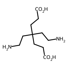 NCCC(CCN)(CCC(=O)O)CCC(=O)O